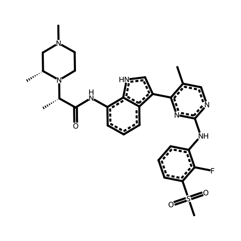 Cc1cnc(Nc2cccc(S(C)(=O)=O)c2F)nc1-c1c[nH]c2c(NC(=O)[C@H](C)N3CCN(C)C[C@H]3C)cccc12